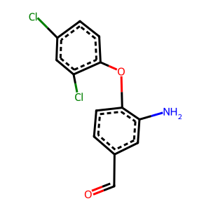 Nc1cc(C=O)ccc1Oc1ccc(Cl)cc1Cl